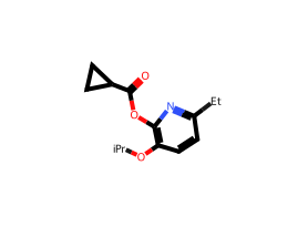 CCc1ccc(OC(C)C)c(OC(=O)C2CC2)n1